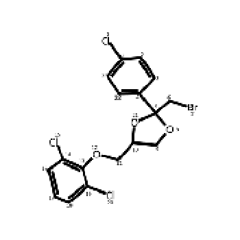 Clc1ccc(C2(CBr)OCC(COc3c(Cl)cccc3Cl)O2)cc1